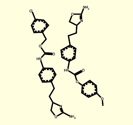 COc1ccc(OC(=O)Nc2ccc(CCC3COC(N)=N3)cc2)cc1.NC1=NC(CCc2ccc(NC(=O)OCc3ccc(Cl)cc3)cc2)CO1